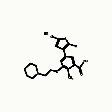 Cc1c(OCCN2CCCCC2)cc(-c2cc(Cl)sc2Cl)cc1C(=O)O.Cl